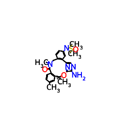 Cc1ccc2c(c1)[C@@H](C)Oc1nc(cnc1N)-c1cc(N=S(C)(C)=O)ccc1CN(C)C2=O